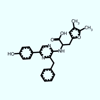 Cc1cc(CC(Nc2ncc(-c3ccc(O)cc3)nc2Cc2ccccc2)C(=O)O)oc1C